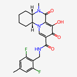 Cc1cc(F)c(CNC(=O)c2cn3c(c(O)c2=O)C(=O)N(C)[C@H]2CCCC[C@H]23)c(F)c1